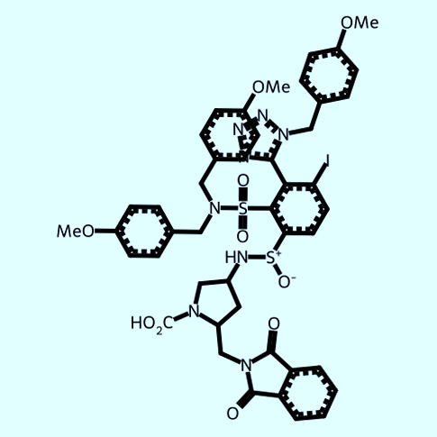 COc1ccc(CN(Cc2ccc(OC)cc2)S(=O)(=O)c2c([S+]([O-])NC3CC(CN4C(=O)c5ccccc5C4=O)N(C(=O)O)C3)ccc(I)c2-c2nnnn2Cc2ccc(OC)cc2)cc1